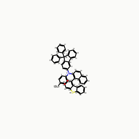 CC(C)(C)c1ccc(N(c2ccc3c(c2)-c2ccccc2C3(c2ccccc2)c2ccccc2)c2ccc3ccccc3c2-c2cccc3sc4ccccc4c23)cc1